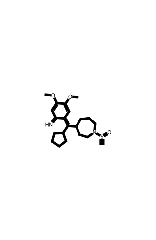 C#S(=O)N1CCCC(/C(=C2\C=C(OC)C(OC)=CC2=N)C2CCCC2)CC1